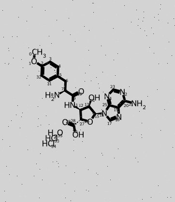 COc1ccc(C[C@H](N)C(=O)N[C@H]2[C@@H](O)[C@@H](n3cnc4c(N)ncnc43)O[C@@H]2C(=O)O)cc1.Cl.Cl.O